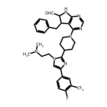 CN(C)CCn1cc(-c2ccc(F)c(C(F)(F)F)c2)nc1C1CCN(c2ncnc3c2C(Cc2ccccc2)C(C=O)N3)CC1